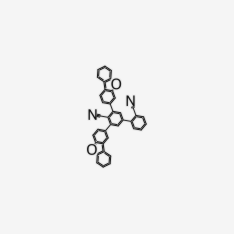 N#Cc1ccccc1-c1cc(-c2ccc3c(c2)oc2ccccc23)c(C#N)c(-c2ccc3oc4ccccc4c3c2)c1